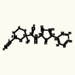 N#CN1CCCC(F)(C(=O)Nc2nnc(-c3ccccc3)s2)C1